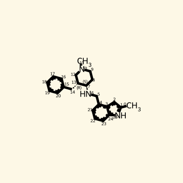 Cc1cc2c(CN[C@H]3CCN(C)C[C@H]3Cc3ccccc3)cccc2[nH]1